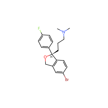 CN(C)CCC[C@]1(c2ccc(F)cc2)OCc2cc(Br)ccc21